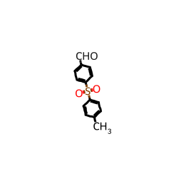 Cc1ccc(S(=O)(=O)c2ccc(C=O)cc2)cc1